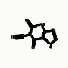 C#Cn1c(=O)[nH]c2nc[nH]c2c1=O